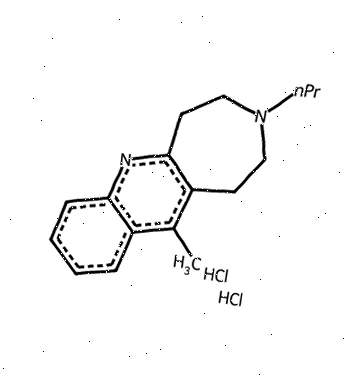 CCCN1CCc2nc3ccccc3c(C)c2CC1.Cl.Cl